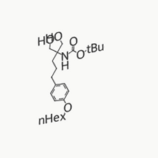 CCCCCCOc1ccc(CCCC(CO)(CO)NC(=O)OC(C)(C)C)cc1